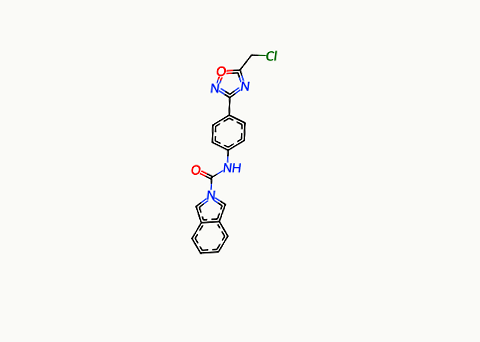 O=C(Nc1ccc(-c2noc(CCl)n2)cc1)n1cc2ccccc2c1